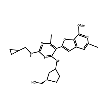 COc1nc(C)cc2cc(-c3c(C)nc(NCC4CC4)nc3N[C@H]3CC[C@@H](CO)C3)oc12